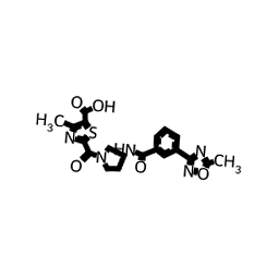 Cc1nc(-c2cccc(C(=O)N[C@@H]3CCN(C(=O)c4nc(C)c(C(=O)O)s4)C3)c2)no1